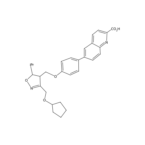 CC(C)C1ON=C(COC2CCCC2)C1COc1ccc(-c2ccc3nc(C(=O)O)ccc3c2)cc1